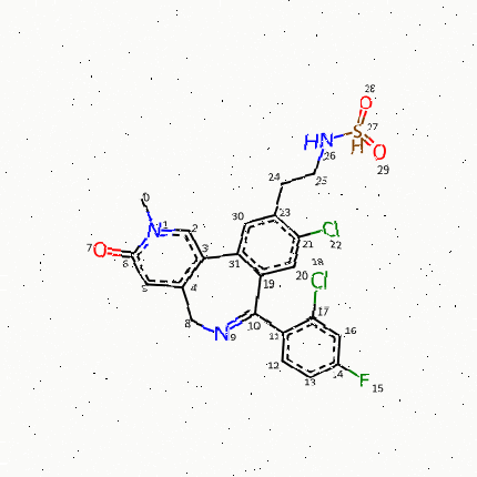 Cn1cc2c(cc1=O)CN=C(c1ccc(F)cc1Cl)c1cc(Cl)c(CCN[SH](=O)=O)cc1-2